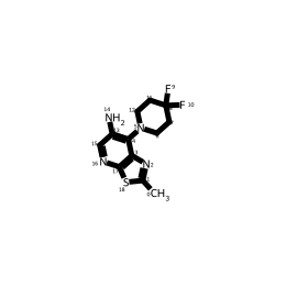 Cc1nc2c(N3CCC(F)(F)CC3)c(N)cnc2s1